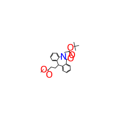 COC(=O)CCC1c2ccccc2C(=O)N(CC(=O)OC(C)(C)C)c2ccccc21